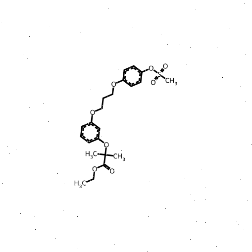 CCOC(=O)C(C)(C)Oc1cccc(OCCCOc2ccc(OS(C)(=O)=O)cc2)c1